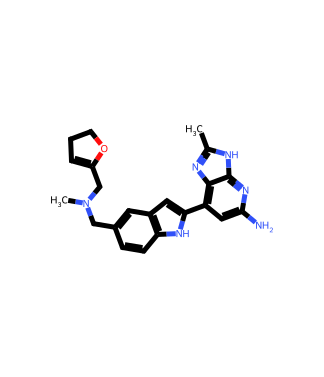 Cc1nc2c(-c3cc4cc(CN(C)CC5=CCCO5)ccc4[nH]3)cc(N)nc2[nH]1